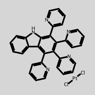 [Cl][Pt][Cl].c1ccc(-c2c(-c3ccccn3)c(-c3ccccn3)c3c([nH]c4ccccc43)c2-c2ccccn2)nc1